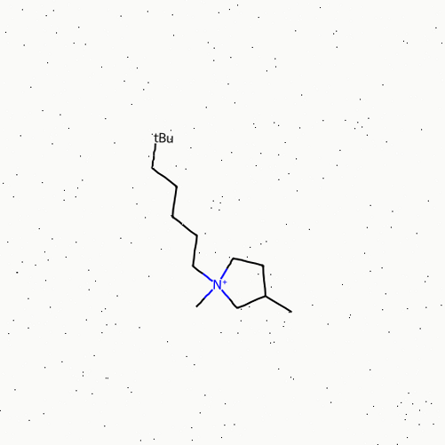 CC1CC[N+](C)(CCCCCC(C)(C)C)C1